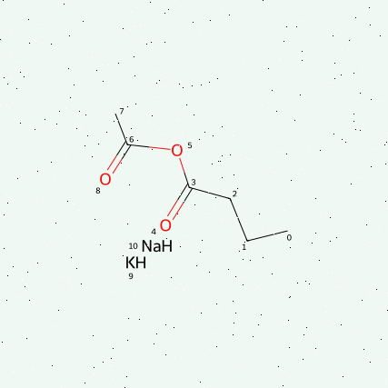 CCCC(=O)OC(C)=O.[KH].[NaH]